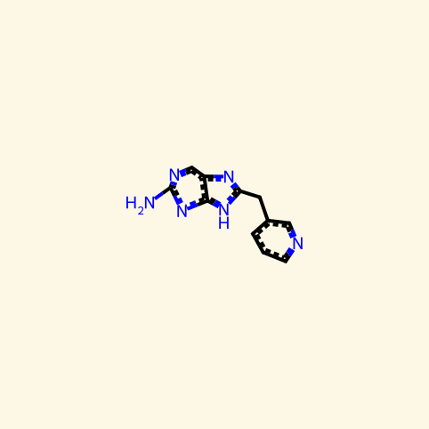 Nc1ncc2nc(Cc3cccnc3)[nH]c2n1